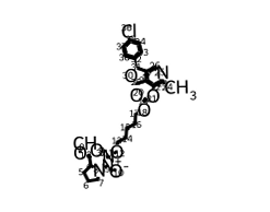 COC(=O)C1CCCN1/[N+]([O-])=N/OCCCCCOC(=O)Oc1c(C)ncc2c1CO[C@H]2c1ccc(Cl)cc1